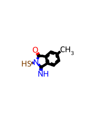 Cc1ccc2c(c1)C(=O)N(S)C2=N